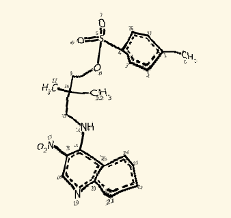 Cc1ccc(S(=O)(=O)OCC(C)(C)CNc2c([N+](=O)[O-])cnc3ccccc23)cc1